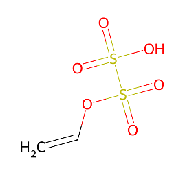 C=COS(=O)(=O)S(=O)(=O)O